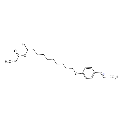 C=CC(=O)OC(CC)CCCCCCCCCOc1ccc(/C=C/C(=O)O)cc1